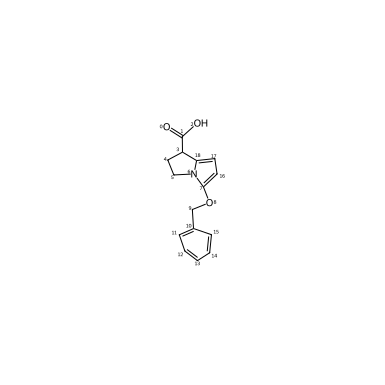 O=C(O)C1CCn2c(OCc3ccccc3)ccc21